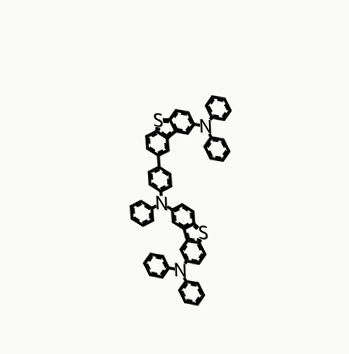 c1ccc(N(c2ccccc2)c2ccc3sc4ccc(-c5ccc(N(c6ccccc6)c6ccc7sc8ccc(N(c9ccccc9)c9ccccc9)cc8c7c6)cc5)cc4c3c2)cc1